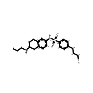 CCCNC1CCc2cc(NS(=O)(=O)c3ccc(CCCF)cc3)ccc2C1